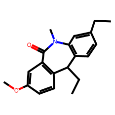 CCc1ccc2c(c1)N(C)C(=O)c1cc(OC)ccc1C2CC